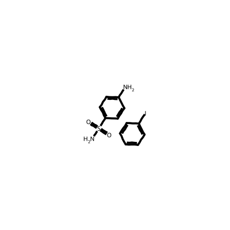 Ic1ccccc1.Nc1ccc(S(N)(=O)=O)cc1